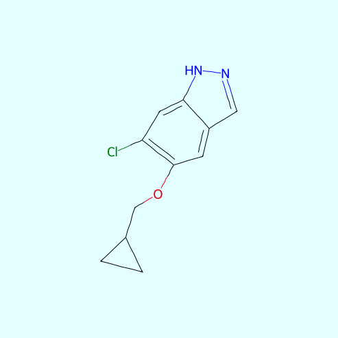 Clc1cc2[nH]ncc2cc1OCC1CC1